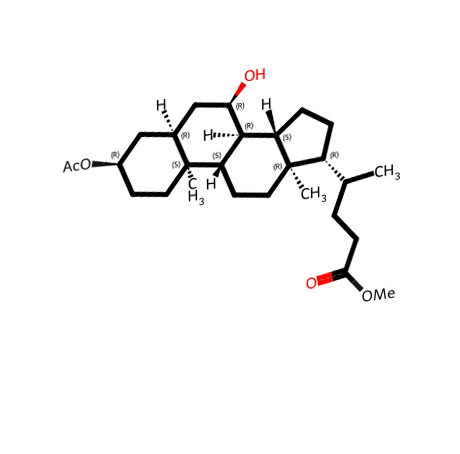 COC(=O)CCC(C)[C@H]1CC[C@H]2[C@@H]3[C@H](O)C[C@@H]4C[C@H](OC(C)=O)CC[C@]4(C)[C@H]3CC[C@]12C